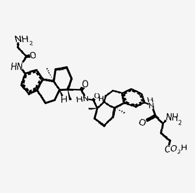 C[C@]1(C(=O)NC(=O)[C@@]2(C)CCC[C@]3(C)c4cc(NC(=O)[C@@H](N)CCC(=O)O)ccc4CC[C@@H]23)CCC[C@]2(C)c3cc(NC(=O)CN)ccc3CC[C@@H]12